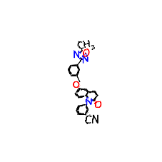 Cc1nc(-c2cccc(COc3ccc4c(ccc(=O)n4-c4cccc(C#N)c4)c3)c2)no1